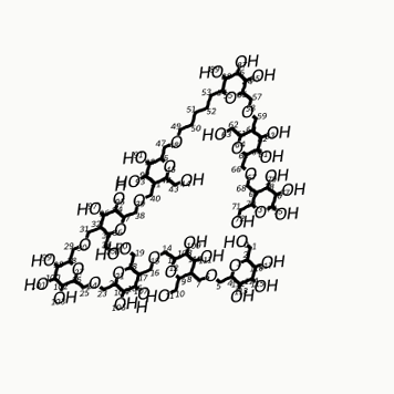 OCC1OC(COCC2C(CO)OC(COCC3C(CO)OC(COCC4OC(COCC5C(CO)OC(COCC6C(CO)OC(COCCCCCC7OC(COCC8C(CO)OC(COCC9C(CO)OC(O)C(O)C9O)C(O)C8O)C(O)C(O)C7O)C(O)C6O)C(O)C5O)C(O)C(O)C4O)C(O)C3O)C(O)C2O)C(O)C(O)C1O